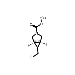 CC(C)(C)OC(=O)N1C[C@@H]2C(CCl)[C@@H]2C1